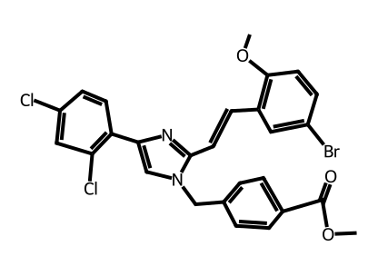 COC(=O)c1ccc(Cn2cc(-c3ccc(Cl)cc3Cl)nc2/C=C/c2cc(Br)ccc2OC)cc1